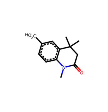 CN1C(=O)CC(C)(C)c2cc(C(=O)O)ccc21